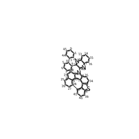 c1ccc(-c2ccccc2-c2nc3ccccc3nc2-n2c3ccc4cccc5c4c3c3c4c(ccc32)sc2cccc-5c24)cc1